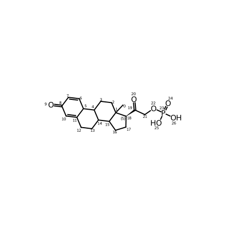 CC12CCC3C4C=CC(=O)C=C4CCC3C1CC[C@@H]2C(=O)COP(=O)(O)O